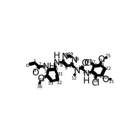 C=CC(=O)Nc1c(Nc2cc(N(C)C(=O)Nc3c(Cl)c(OC)cc(OC)c3Cl)ncn2)cccc1OC